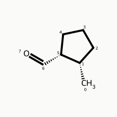 C[C@H]1CCC[C@H]1C=O